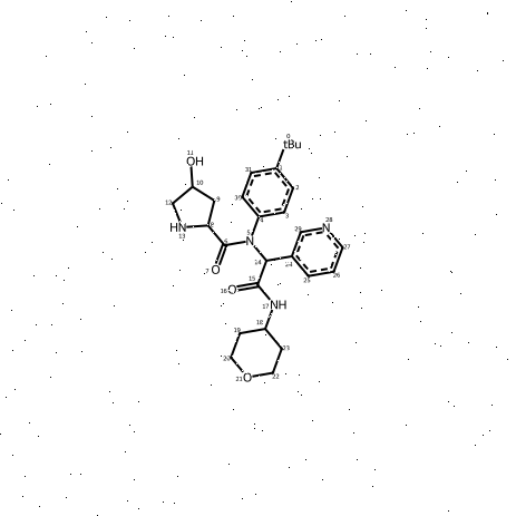 CC(C)(C)c1ccc(N(C(=O)C2CC(O)CN2)C(C(=O)NC2CCOCC2)c2cccnc2)cc1